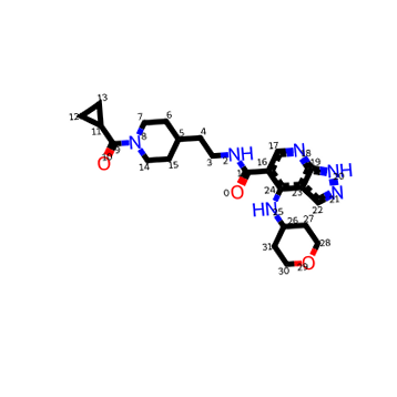 O=C(NCCC1CCN(C(=O)C2CC2)CC1)c1cnc2[nH]ncc2c1NC1CCOCC1